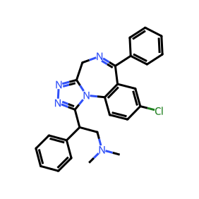 CN(C)CC(c1ccccc1)c1nnc2n1-c1ccc(Cl)cc1C(c1ccccc1)=NC2